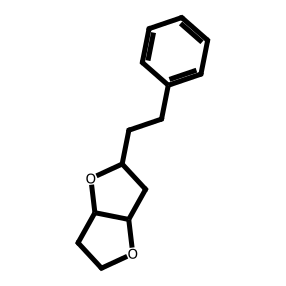 c1ccc(CCC2CC3OCCC3O2)cc1